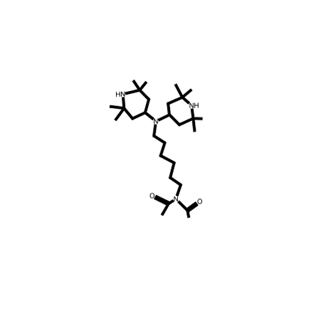 CC(=O)N(CCCCCCN(C1CC(C)(C)NC(C)(C)C1)C1CC(C)(C)NC(C)(C)C1)C(C)=O